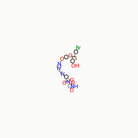 O=C1CCC(N2C(=O)c3ccc(N4CC(CN5CCN(CCOc6ccc(Oc7c(-c8ccc(Br)cc8)sc8cc(O)ccc78)cc6)CC5)C4)cc3C2=O)C(=O)N1